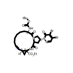 CCOC(=O)[C@@]12C[C@H]1/C=C\CCCCC[C@H](NC(=O)OC(C)(C)C)C(=O)N1C[C@H](n3ncc(Br)c(Br)c3=O)CC1C(=O)N2